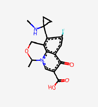 CNC1(c2c(F)cc3c(=O)c(C(=O)O)cn4c3c2COC4C)CC1